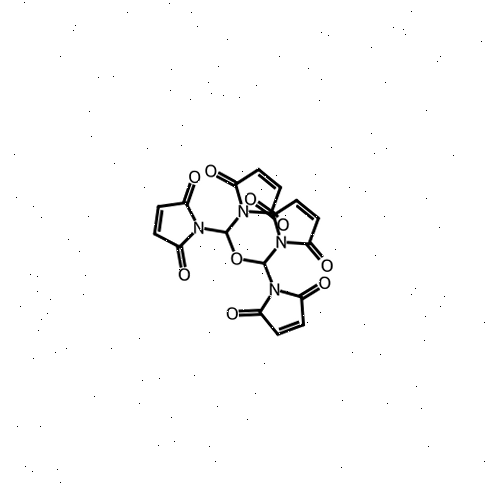 O=C1C=CC(=O)N1C(OC(N1C(=O)C=CC1=O)N1C(=O)C=CC1=O)N1C(=O)C=CC1=O